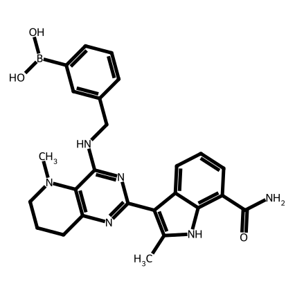 Cc1[nH]c2c(C(N)=O)cccc2c1-c1nc2c(c(NCc3cccc(B(O)O)c3)n1)N(C)CCC2